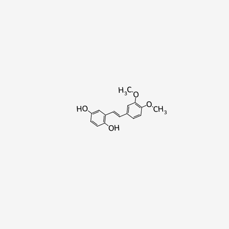 COc1ccc(C=Cc2cc(O)ccc2O)cc1OC